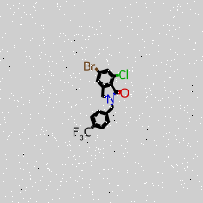 O=C1c2c(Cl)cc(Br)cc2CN1Cc1ccc(C(F)(F)F)cc1